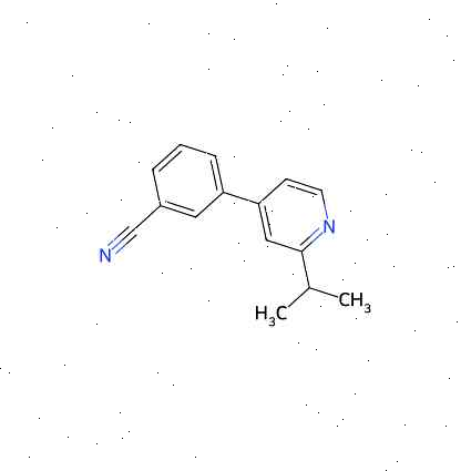 CC(C)c1cc(-c2cccc(C#N)c2)ccn1